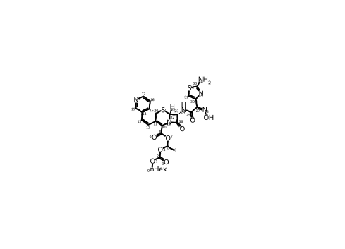 CCCCCCOC(=O)OC(C)OC(=O)C1=C(/C=C\c2cccnc2)CS[C@@H]2[C@H](NC(=O)/C(=N\O)c3csc(N)n3)C(=O)N12